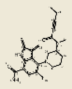 C=c1[nH]c2c(C(N)=O)cc(F)c(N3CCC[C@H](N(C)C(=O)C#CCC)C3)c2c1=C